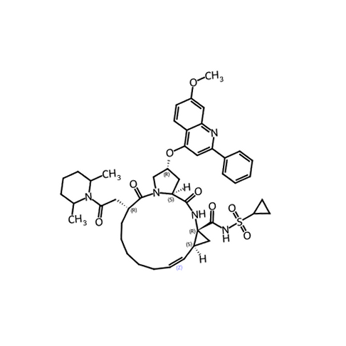 COc1ccc2c(O[C@@H]3C[C@H]4C(=O)N[C@]5(C(=O)NS(=O)(=O)C6CC6)C[C@H]5/C=C\CCCCC[C@H](CC(=O)N5C(C)CCCC5C)C(=O)N4C3)cc(-c3ccccc3)nc2c1